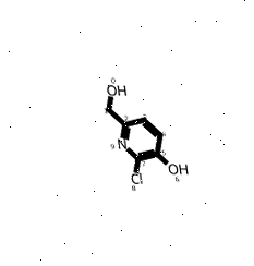 OCc1ccc(O)c(Cl)n1